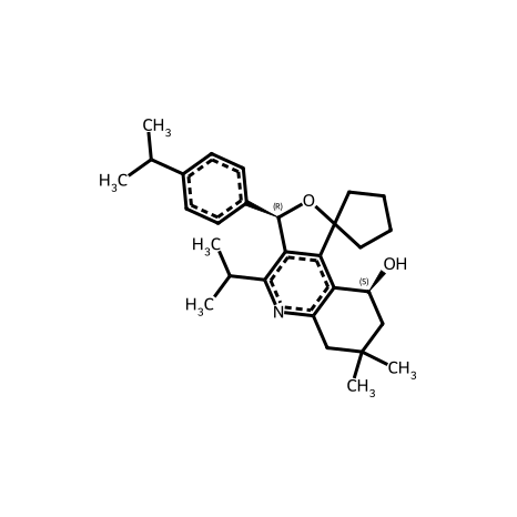 CC(C)c1ccc([C@H]2OC3(CCCC3)c3c2c(C(C)C)nc2c3[C@@H](O)CC(C)(C)C2)cc1